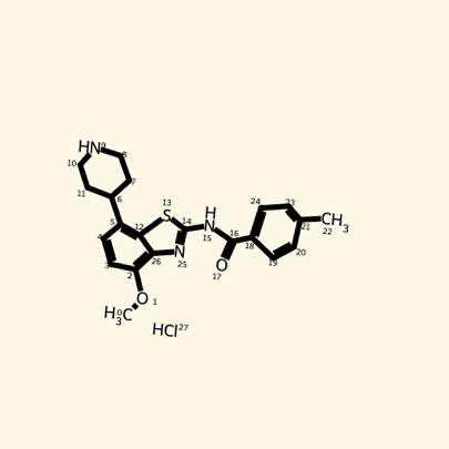 COc1ccc(C2CCNCC2)c2sc(NC(=O)c3ccc(C)cc3)nc12.Cl